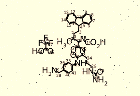 C[C@@H](CCC1c2ccccc2-c2ccccc21)C(=NC(=O)O)C(=O)N=C(CCCNC(N)=O)C(=O)Nc1ccc(CN)cc1.O=C(O)C(F)(F)F